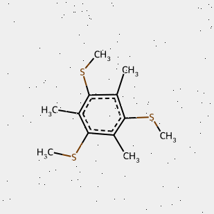 CSc1c(C)c(SC)c(C)c(SC)c1C